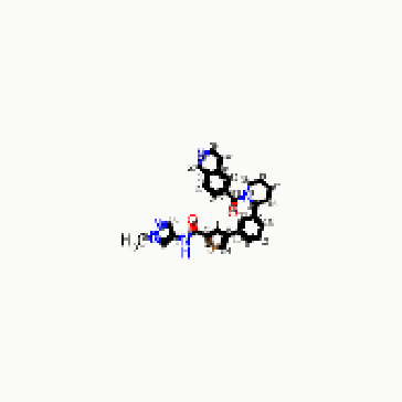 Cn1cc(NC(=O)c2cc(-c3cccc(C4CCCCN4C(=O)c4ccc5cnccc5c4)c3)cs2)cn1